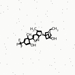 CCN1CC2(O)CC(n3cc(C)c4cc(-c5c(C)cc(C(F)(F)F)cc5O)nnc43)(C1)C2